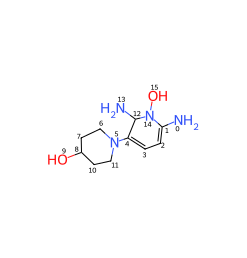 NC1=CC=C(N2CCC(O)CC2)C(N)N1O